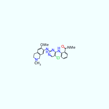 CNC(=O)c1ccccc1Nc1nc(Nc2cc3c(cc2OC)CCN(C)C3)ncc1Cl